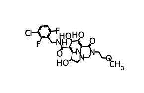 COCCN1CN2CC(O)C3=C(C(=O)NCc4c(F)ccc(Cl)c4F)C(O)C(O)=C(C1=O)N32